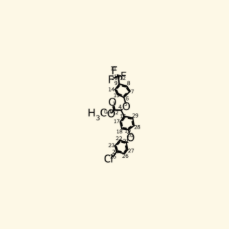 COC(=O)C(Oc1ccc(C(F)(F)F)cc1)c1ccc(Oc2ccc(Cl)cc2)cc1